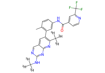 [2H]C([2H])([2H])Nc1ncc2cc(-c3cc(NC(=O)c4ccnc(C(F)(F)F)c4)ccc3C)c(C([2H])([2H])[2H])nc2n1